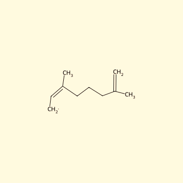 [CH2]C=C(C)CCCC(=C)C